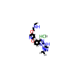 CCNCCOc1ccc(Oc2ccc3nc(Nc4cnn(C(C)C)n4)ncc3c2)nc1.Cl